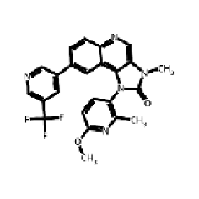 COc1ccc(-n2c(=O)n(C)c3cnc4ccc(-c5cncc(C(F)(F)F)c5)cc4c32)c(C)n1